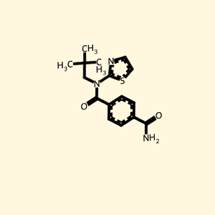 CC(C)(C)CN(C(=O)c1ccc(C(N)=O)cc1)c1nccs1